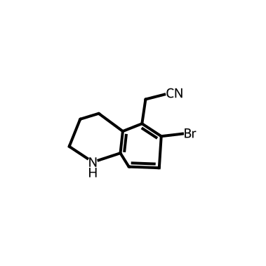 N#CCc1c(Br)ccc2c1CCCN2